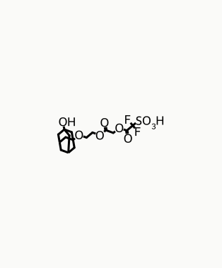 O=C(COC(=O)C(F)(F)S(=O)(=O)O)OCCOC12CC3CC(CC(O)(C3)C1)C2